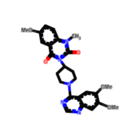 COc1ccc2c(c1)c(=O)n(C1CCN(c3ncnc4cc(OC)c(OC)cc34)CC1)c(=O)n2C